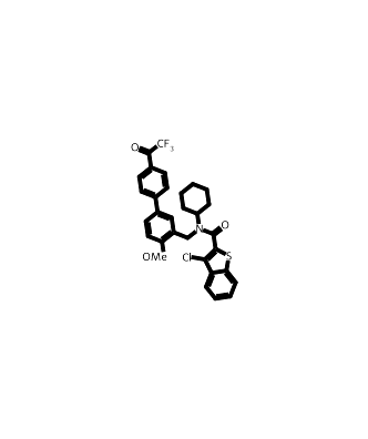 COc1ccc(-c2ccc(C(=O)C(F)(F)F)cc2)cc1CN(C(=O)c1sc2ccccc2c1Cl)C1CCCCC1